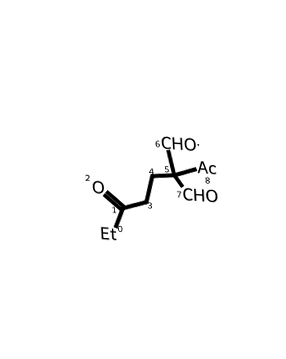 CCC(=O)CCC([C]=O)(C=O)C(C)=O